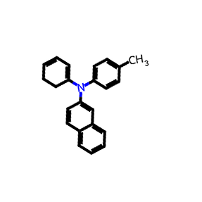 Cc1ccc(N(C2=CC=CCC2)c2ccc3ccccc3c2)cc1